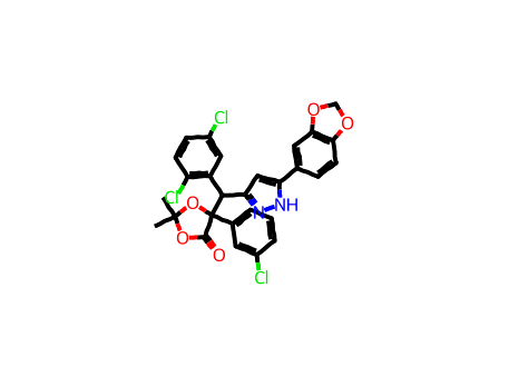 CC1(C)OC(=O)C(c2cccc(Cl)c2)(C(c2cc(-c3ccc4c(c3)OCO4)[nH]n2)c2cc(Cl)ccc2Cl)O1